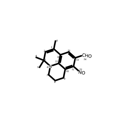 CC1=CC(C)(C)N2CCCc3c(N=O)c(C=O)cc1c32